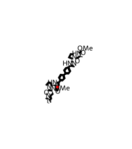 COC(=O)N[C@@H](C)C(=O)N1CCC[C@H]1c1ncc(-c2ccc(-c3ccc(-c4cnc([C@]56CCCN5C(=O)[C@H](Cc5cn(C)cn5)N6C(=O)OC)[nH]4)cc3)cc2)[nH]1